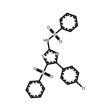 O=S(=O)(Nc1nc(-c2ccc(Cl)cc2)c(S(=O)(=O)c2ccccc2)s1)c1ccccc1